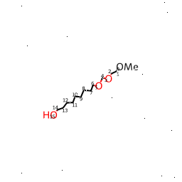 COCCOCOCCCCCCCCCO